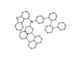 c1ccc(-c2ccccc2-c2ccccc2-c2ccc(N(c3cccc(-c4cccc5cccc(-c6ccccc6)c45)c3)c3cccc4oc5ccccc5c34)cc2)cc1